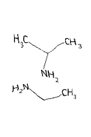 CC(C)N.CCN